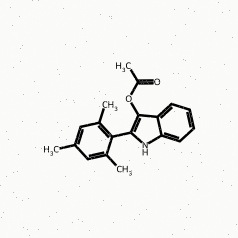 CC(=O)Oc1c(-c2c(C)cc(C)cc2C)[nH]c2ccccc12